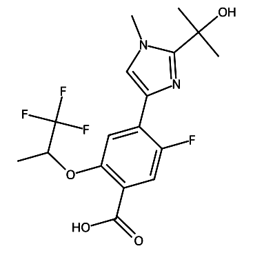 CC(Oc1cc(-c2cn(C)c(C(C)(C)O)n2)c(F)cc1C(=O)O)C(F)(F)F